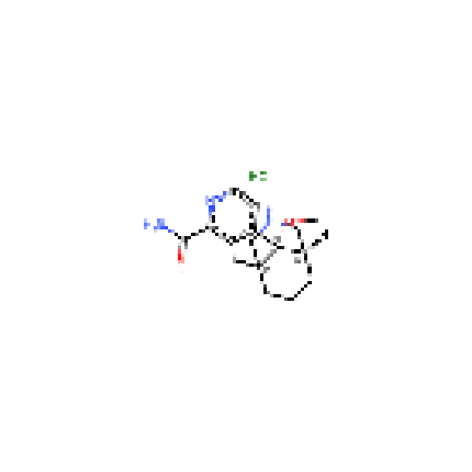 CO[C@@]1(c2ccnc(C(N)=O)c2)[C@@H]2CCC[C@H]1CNC2.Cl